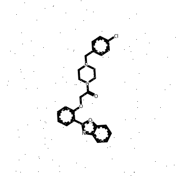 O=C(COc1ccccc1-c1nc2ccccc2o1)N1CCN(Cc2ccc(Cl)cc2)CC1